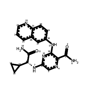 NC(=O)c1ncc(N[C@@H](C(N)=O)C2CC2)nc1Nc1ccc2ncccc2c1